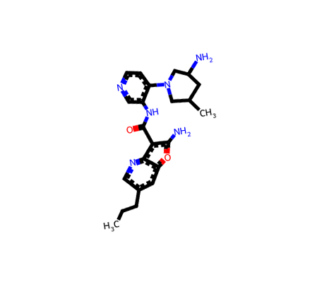 CCCc1cnc2c(C(=O)Nc3cnccc3N3CC(C)CC(N)C3)c(N)oc2c1